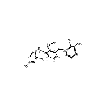 COc1c(Cc2ccnc(N)c2F)cncc1Nc1ccc(Cl)cc1F